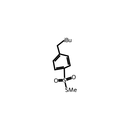 CCC(C)Cc1ccc(S(=O)(=O)SC)cc1